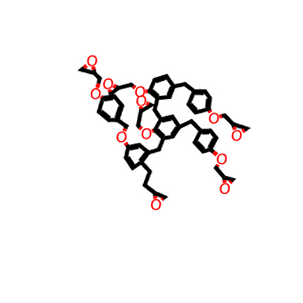 c1cc(OCC2CO2)ccc1COc1ccc(CCC2CO2)c(Cc2cc(Cc3ccc(OCC4CO4)cc3)cc(Cc3cc(Cc4ccc(OCC5CO5)cc4)ccc3OCC3CO3)c2OCC2CO2)c1